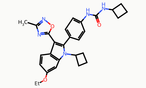 CCOc1ccc2c(-c3nc(C)no3)c(-c3ccc(NC(=O)NC4CCC4)cc3)n(C3CCC3)c2c1